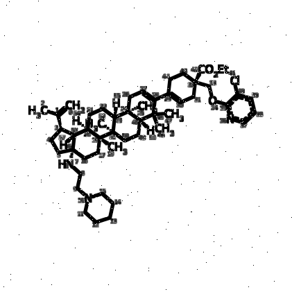 C=C(C)[C@@H]1CC[C@]2(NCCN3CCCCC3)CC[C@]3(C)[C@H](CC[C@@H]4[C@@]5(C)CC=C(C6=CC[C@](COc7ncccc7Cl)(C(=O)OCC)CC6)C(C)(C)[C@@H]5CC[C@]43C)[C@@H]12